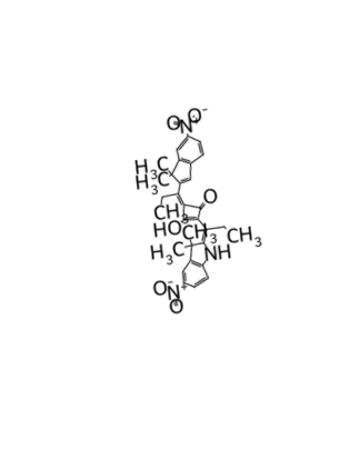 CC/C(C1=Cc2ccc([N+](=O)[O-])cc2C1(C)C)=C1/C(=O)C(C(/CC)=C2/Nc3ccc([N+](=O)[O-])cc3C2(C)C)=C1O